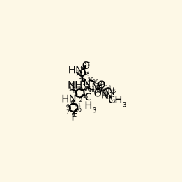 Cc1cc(Nc2ccc(F)cc2)c(C=N)cc1[C@@H]1CN(S(=O)(=O)c2cnn(C)n2)CCN1CC1CNC(=O)C1